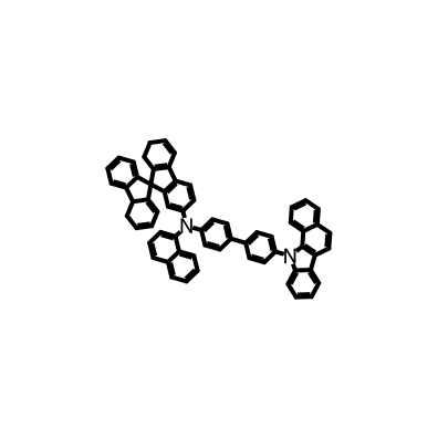 C1=CCC2C(=C1)C1(C3=C(C=CCC3)c3ccc(N(c4ccc(-c5ccc(-n6c7ccccc7c7ccc8ccccc8c76)cc5)cc4)c4cccc5ccccc45)cc31)c1ccccc12